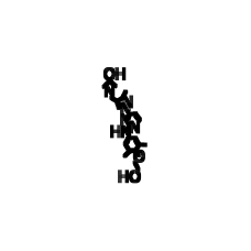 Cc1cc(Nc2nccc(-n3cc(CN4CC(O)C4)c(C)n3)n2)cc(C)c1OCCO